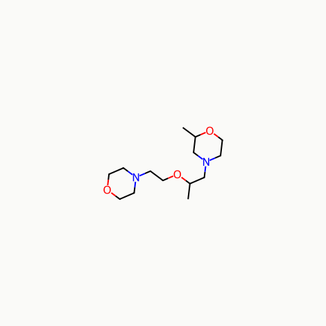 CC(CN1CCOC(C)C1)OCCN1CCOCC1